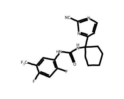 N#Cc1nccc(C2(NC(=O)Nc3cc(C(F)(F)F)c(F)cc3F)CCCCC2)n1